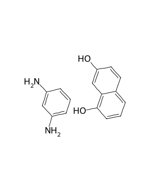 Nc1cccc(N)c1.Oc1ccc2cccc(O)c2c1